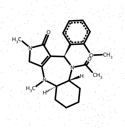 COc1ccccc1[C@@H]1C2=C(CN(C)C2=O)N(C)[C@@H]2CCCC[C@H]2N1C(C)=O